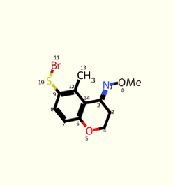 CON=C1CCOc2ccc(SBr)c(C)c21